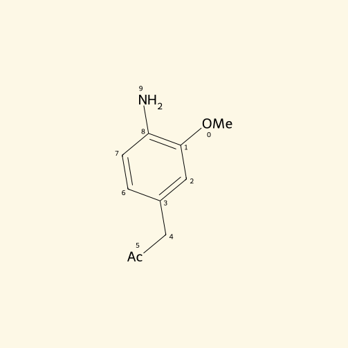 COc1cc(CC(C)=O)ccc1N